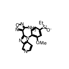 CC[S+]([O-])c1ccc(-n2c(-c3nonc3N)nc3cnccc32)c(OC)c1